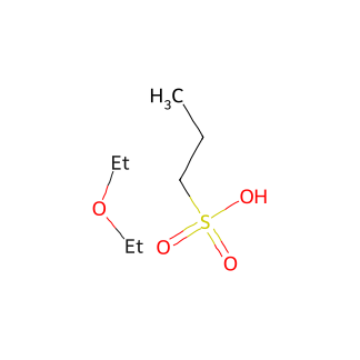 CCCS(=O)(=O)O.CCOCC